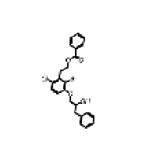 O=C(OCCc1c(Cl)ccc(OCC(O)Cc2ccccc2)c1Br)c1ccccc1